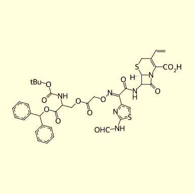 C=CC1=C(C(=O)O)N2C(=O)C(NC(=O)/C(=N/OCC(=O)OCC(NC(=O)OC(C)(C)C)C(=O)OC(c3ccccc3)c3ccccc3)c3csc(NC=O)n3)[C@H]2SC1